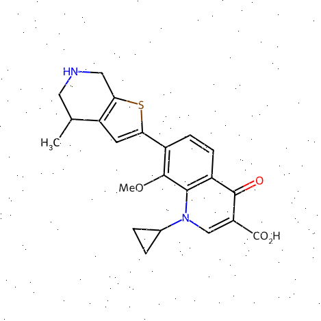 COc1c(-c2cc3c(s2)CNCC3C)ccc2c(=O)c(C(=O)O)cn(C3CC3)c12